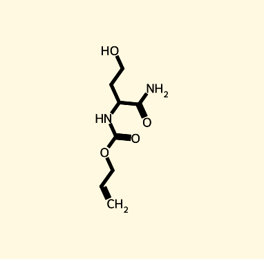 C=CCOC(=O)NC(CCO)C(N)=O